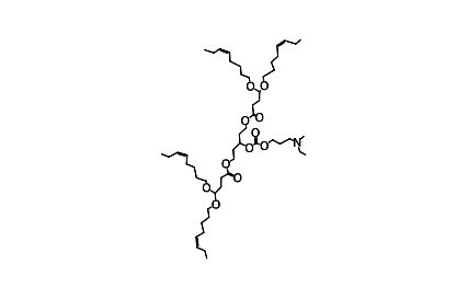 CC/C=C\CCCCOC(CCC(=O)OCCC(CCOC(=O)CCC(OCCCC/C=C\CC)OCCCC/C=C\CC)OC(=O)OCCCN(C)CC)OCCCC/C=C\CC